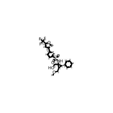 COCC1[C@H](c2ccccc2)C1(NS(=O)(=O)c1ccc(-c2cc(C(F)(F)F)on2)s1)C(=O)O